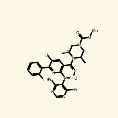 C/N=C(\c1cc(Cl)c(-c2ccccc2F)nc1N(C=O)c1c(C(C)C)ncnc1C(C)C)N1C(C)CN(C(=O)OC(C)(C)C)C[C@@H]1C